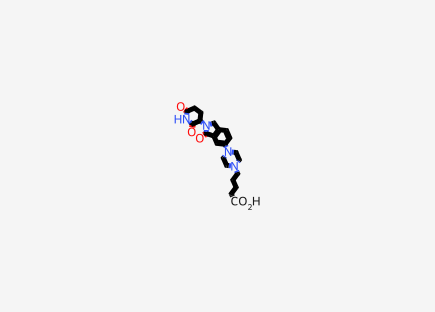 O=C(O)CCCCN1CCN(c2ccc3c(c2)C(=O)N(C2CCC(=O)NC2=O)C3)CC1